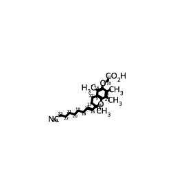 Cc1c(C)c2c(c(C)c1OCC(=O)O)CCC(C)(C=CCCCCCCC#N)O2